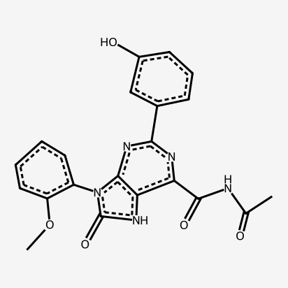 COc1ccccc1-n1c(=O)[nH]c2c(C(=O)NC(C)=O)nc(-c3cccc(O)c3)nc21